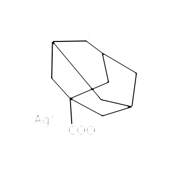 O=C([O-])C12CC3CC(CC(C3)C1)C2.[Ag+]